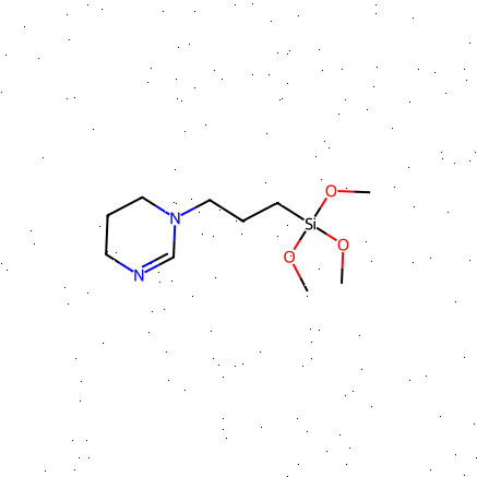 CO[Si](CCCN1C=NCCC1)(OC)OC